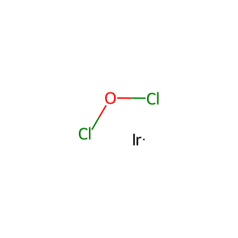 ClOCl.[Ir]